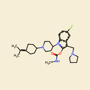 CNC(=O)Oc1c(CN2CCCC2)c2cc(F)ccc2n1C1CCN(C2CCC(=C(C)C)CC2)CC1